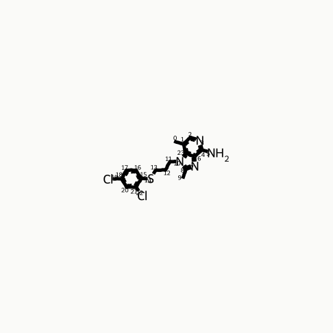 Cc1cnc(N)c2nc(C)n(CCCSc3ccc(Cl)cc3Cl)c12